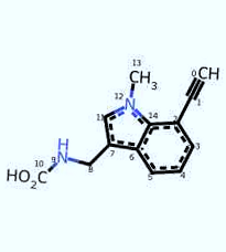 C#Cc1cccc2c(CNC(=O)O)cn(C)c12